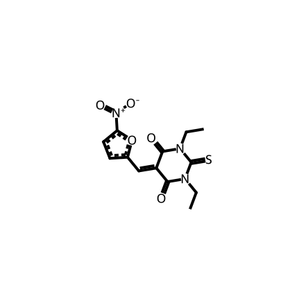 CCN1C(=O)C(=Cc2ccc([N+](=O)[O-])o2)C(=O)N(CC)C1=S